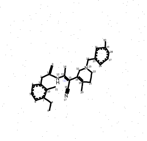 C=C(Cc1cccc(CC)c1C)N/C(C)=C(\C#N)C1=C(C)CCN(Cc2cccc(C)c2)C1